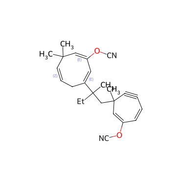 CCC(C)(CC1(C)C#CC=CC(OC#N)=C1)/C1=C/C(OC#N)=C\C(C)(C)/C=C\C1